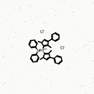 CC1=[C]([Hf+2]([C]2=C(C)C(c3ccccc3)=CC2C)=[Si](c2ccccc2)c2ccccc2)C(C)C=C1c1ccccc1.[Cl-].[Cl-]